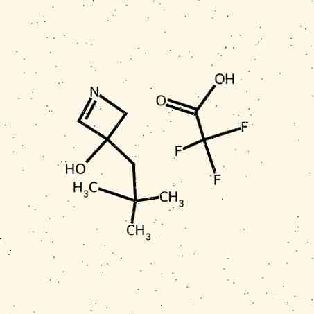 CC(C)(C)CC1(O)C=NC1.O=C(O)C(F)(F)F